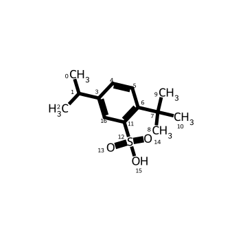 CC(C)c1ccc(C(C)(C)C)c(S(=O)(=O)O)c1